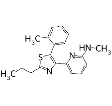 CCCc1nc(-c2cccc(NC)n2)c(-c2ccccc2C)s1